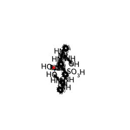 O=S(=O)(O)c1cc(Nc2nc(NCCO)nc(Nc3ccccc3)n2)ccc1C=Cc1ccc(Nc2nc(NCCO)nc(Nc3ccccc3)n2)cc1S(=O)(=O)O.[NaH].[NaH]